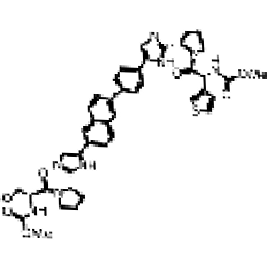 COC[C@H](NC(=O)OC)C(=O)N1CCC[C@H]1c1ncc(-c2ccc3cc(-c4ccc(-c5cnc([C@@H]6CCCN6C(=O)[C@H](NC(=O)OC)c6ccsc6)[nH]5)cc4)ccc3c2)[nH]1